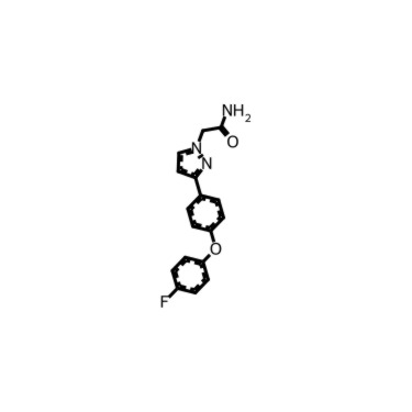 NC(=O)Cn1ccc(-c2ccc(Oc3ccc(F)cc3)cc2)n1